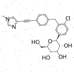 Cn1cnc(C#Cc2ccc(Cc3cc([C@@H]4O[C@H](CO)[C@@H](O)C(O)[C@H]4O)ccc3Cl)cc2)c1